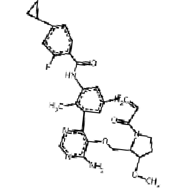 C=CC(=O)N1CCC(OC)C1COc1c(N)ncnc1-c1cc(F)cc(NC(=O)c2ccc(C3CC3)cc2F)c1C